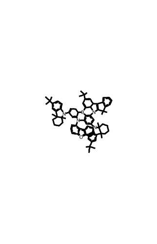 CC(C)(C)C1=CC2C3=C(N4c5cc(N6c7ccc(C(C)(C)C)cc7C7(C)CCCCC67C)cc6c5B(C(=C1)C24)C1CC=C(N2c4ccc(C(C)(C)C)cc4C4(C)CCCCC24C)C=C1N6c1cccc2oc4ccccc4c12)C(C)(C)c1ccccc13